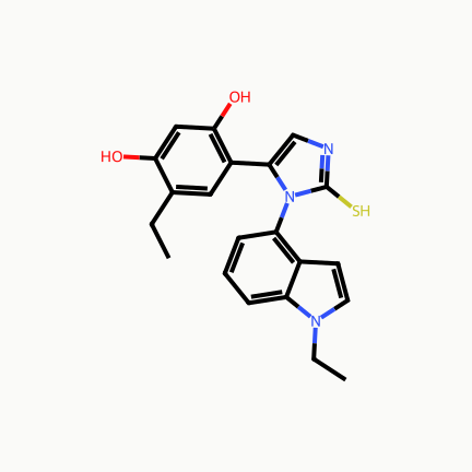 CCc1cc(-c2cnc(S)n2-c2cccc3c2ccn3CC)c(O)cc1O